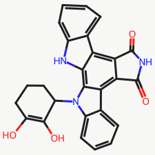 O=C1NC(=O)c2c1c1c3ccccc3[nH]c1c1c2c2ccccc2n1C1CCCC(O)=C1O